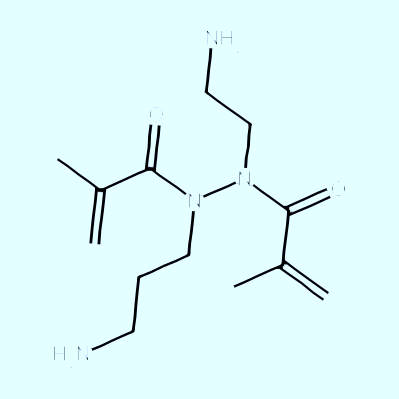 C=C(C)C(=O)N(CCN)N(CCCN)C(=O)C(=C)C